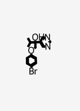 CC(C)C(O)(COc1ccc(Br)cc1)c1cncnc1